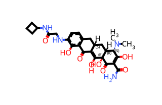 CN(C)[C@@H]1C(O)=C(C(N)=O)C(=O)[C@]2(O)C(O)=C3C(=O)c4c(ccc(NCC(=O)NC5CCC5)c4O)C[C@@H]3C[C@H]12